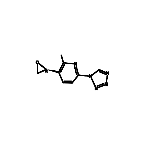 Cc1nc(-n2cnnn2)ccc1[C@@H]1CO1